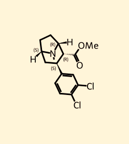 COC(=O)[C@@H]1[C@@H](c2ccc(Cl)c(Cl)c2)C[C@@H]2CC[C@H]1N2C